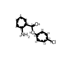 Nc1ccccc1C(=O)Oc1ccc(Cl)cc1